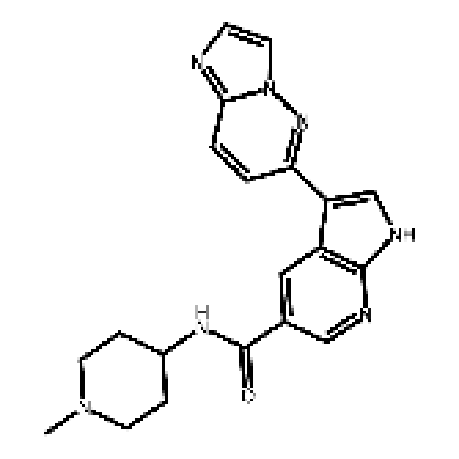 CN1CCC(NC(=O)c2cnc3[nH]cc(-c4ccc5nccn5n4)c3c2)CC1